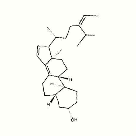 C/C=C(/CC[C@@H](C)[C@H]1C=CC2=C3CC[C@H]4C[C@@H](O)CC[C@]4(C)[C@H]3CC[C@@]21C)C(C)C